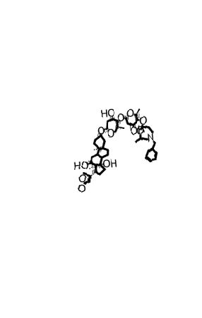 CC1CN(Cc2ccccc2)CCC(O[C@@H]2[C@H](C)O[C@@H](O[C@@H]3[C@@H](C)CO[C@@H](O[C@H]4CC[C@@]5(C)C(CCC6C5C[C@H](O)[C@]5(C)[C@@H](C7=CC(=O)OC7)CC[C@]65O)C4)C[C@@H]3O)C[C@@H]2O)O1